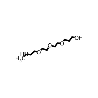 CNCCOCCOCCOCCCO